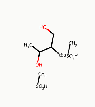 CC(O)C(CO)C(C)(C)C.CS(=O)(=O)O.CS(=O)(=O)O